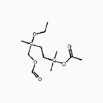 CCO[Si](C)(CC[Si](C)(C)OC(C)=O)COC=O